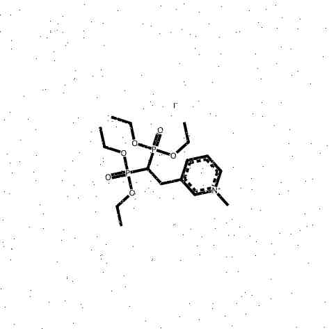 CCOP(=O)(OCC)C(Cc1ccc[n+](C)c1)P(=O)(OCC)OCC.[I-]